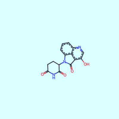 O=C1CCC(N2C(=O)c3c(O)cnc4cccc2c34)C(=O)N1